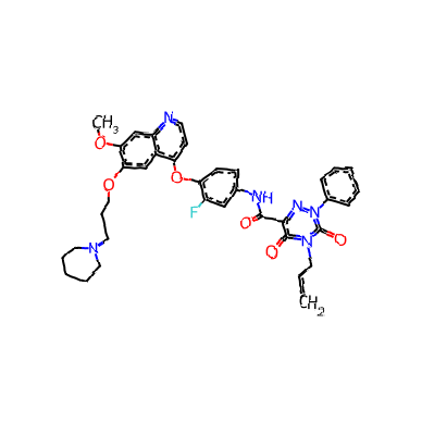 C=CCn1c(=O)c(C(=O)Nc2ccc(Oc3ccnc4cc(OC)c(OCCCN5CCCCC5)cc34)c(F)c2)nn(-c2ccccc2)c1=O